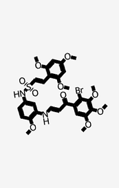 COc1cc(OC)c(C=CS(=O)(=O)Nc2ccc(OC)c(NC=CC(=O)c3cc(OC)c(OC)c(OC)c3Br)c2)c(OC)c1